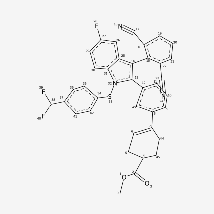 COC(=O)C1CC=C(c2cccc(-c3c(-c4c(C#N)cccc4C#N)c4cc(F)ccc4n3Sc3ccc(C(F)F)cc3)c2)CC1